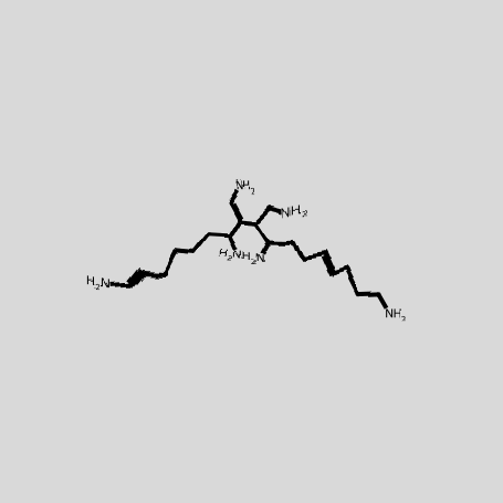 NC=CCCCCC(N)C(=CN)C(CN)C(N)CCC=CCCCN